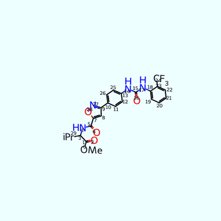 COC(=O)C(NC(=O)c1cc(-c2ccc(NC(=O)Nc3ccccc3C(F)(F)F)cc2)no1)C(C)C